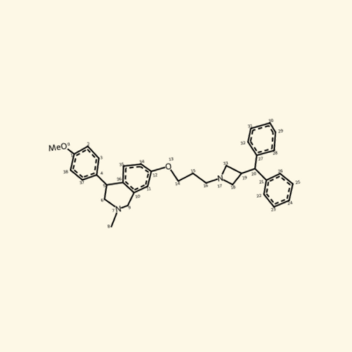 COc1ccc(C2CN(C)Cc3cc(OCCCN4CC(C(c5ccccc5)c5ccccc5)C4)ccc32)cc1